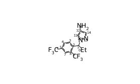 CCC(c1ccc(C(F)(F)F)cc1C(F)(F)F)n1cc(N)cn1